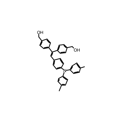 Cc1ccc(N(c2ccc(C)cc2)c2ccc(C=C(c3ccc(CO)cc3)c3ccc(CO)cc3)cc2)cc1